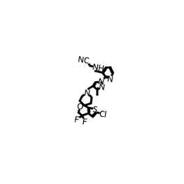 Cc1nn(-c2ncccc2CNCC#N)cc1CN1CCC2(CC1)OCC(F)(F)c1cc(Cl)sc12